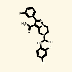 NC(=O)c1c(-c2cccc(F)c2)nn2c1CN(C(O)Nc1ccc(Cl)cc1Cl)CC2